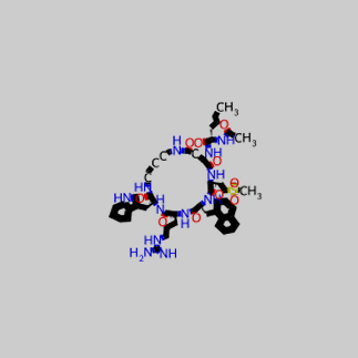 CCCC[C@H](NC(C)=O)C(=O)N[C@H]1CC(=O)NCCCCCNC(=O)[C@H](Cc2c[nH]c3ccccc23)NC(=O)[C@H](CCCNC(=N)N)NC(=O)[C@@H](Cc2cccc3ccccc23)NC(=O)[C@H](CCS(C)(=O)=O)NC1=O